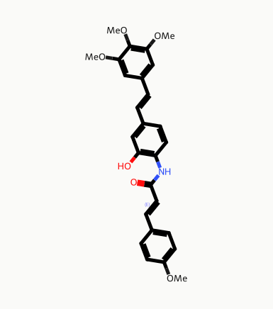 COc1ccc(/C=C/C(=O)Nc2ccc(C=Cc3cc(OC)c(OC)c(OC)c3)cc2O)cc1